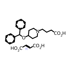 O=C(O)/C=C/C(=O)O.O=C(O)CCCN1CCC(OC(c2ccccc2)c2ccccc2)CC1